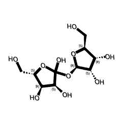 OC[C@@H]1O[C@H](OC2(O)O[C@@H](CO)[C@H](O)[C@@H]2O)[C@@H](O)[C@H]1O